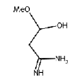 COC(O)CC(=N)N